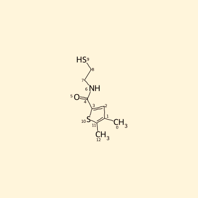 Cc1cc(C(=O)NCCS)sc1C